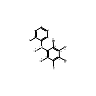 Cc1ccccc1N(Br)c1c(Br)c(Br)c(Br)c(Br)c1Br